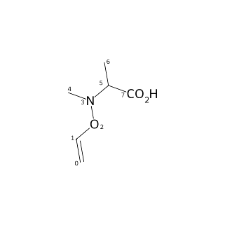 C=CON(C)C(C)C(=O)O